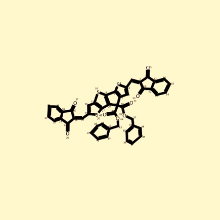 O=C1C(=Cc2cc3c(s2)-c2sc4cc(C=C5C(=O)c6ccccc6C5=O)sc4c2C3(C(=O)OCc2ccccc2)C(=O)OCc2ccccc2)C(=O)c2ccccc21